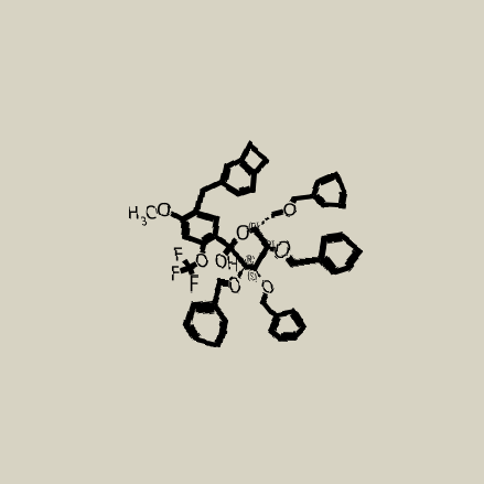 COc1cc(OC(F)(F)F)c(C2(O)O[C@H](COCc3ccccc3)[C@@H](OCc3ccccc3)[C@H](OCc3ccccc3)[C@H]2OCc2ccccc2)cc1Cc1ccc2c(c1)CC2